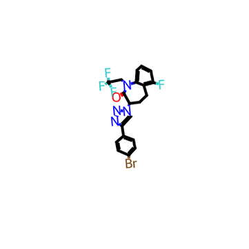 O=C1C(n2cc(-c3ccc(Br)cc3)nn2)CCc2c(F)cccc2N1CC(F)(F)F